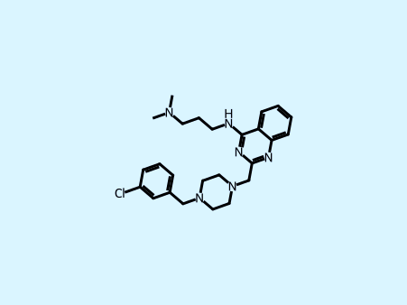 CN(C)CCCNc1nc(CN2CCN(Cc3cccc(Cl)c3)CC2)nc2ccccc12